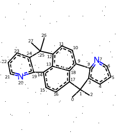 CC1(C)c2cccnc2-c2ccc3c4c(ccc1c24)-c1ncccc1C3(C)C